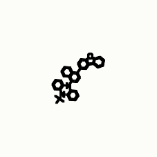 CC(C)(C)N1c2ccccc2N(c2ccc(-c3ccc4oc5ccccc5c4c3)c3ccccc23)c2ccccc21